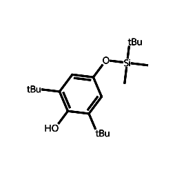 CC(C)(C)c1cc(O[Si](C)(C)C(C)(C)C)cc(C(C)(C)C)c1O